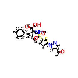 CC(=O)c1cnn(-c2ccc(S(=O)(=O)N[C@@]3(C(=O)O)C(C)[C@@H]3c3ccccc3)s2)c1